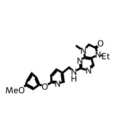 CCN1C(=O)CN(C)c2nc(NCc3ccc(Oc4cccc(OC)c4)nc3)ncc21